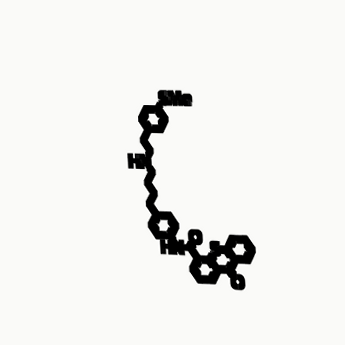 CSc1ccc(CCNCCCCc2ccc(NC(=O)c3cccc4c(=O)c5ccccc5sc34)cc2)cc1